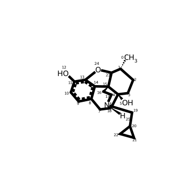 C[C@@H]1CC[C@]2(O)[C@@H]3Cc4ccc(O)c5c4[C@]2(CCN3CC2CC2)C1O5